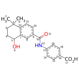 CC1(C)CCC(O)c2cc(C(=O)Nc3ccc(C(=O)O)cc3)ccc21